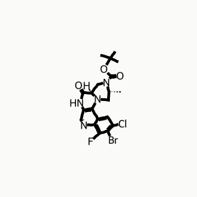 C[C@@H]1CN2c3c(cnc4c(F)c(Br)c(Cl)cc34)NC(=O)[C@H]2CN1C(=O)OC(C)(C)C